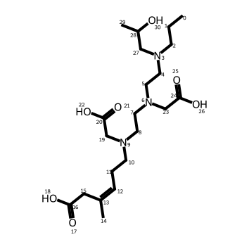 CCCN(CCN(CCN(CC/C=C(/C)CC(=O)O)CC(=O)O)CC(=O)O)CC(C)O